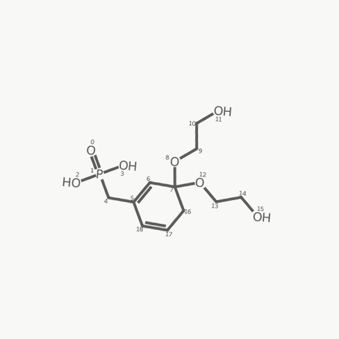 O=P(O)(O)CC1=CC(OCCO)(OCCO)CC=C1